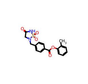 Cc1ccccc1OC(=O)c1ccc(CN2CC(=O)NS2(=O)=O)cc1